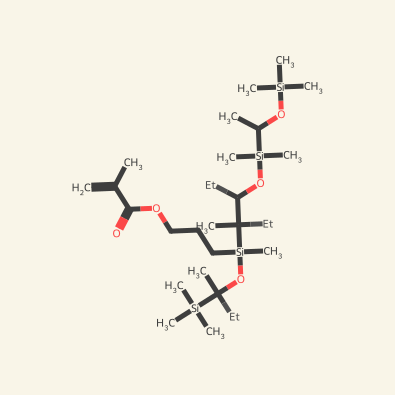 C=C(C)C(=O)OCCC[Si](C)(OC(C)(CC)[Si](C)(C)C)C(C)(CC)C(CC)O[Si](C)(C)C(C)O[Si](C)(C)C